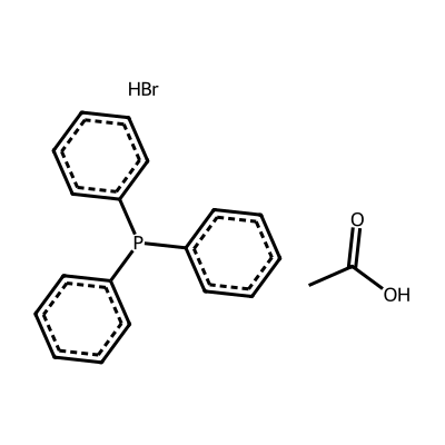 Br.CC(=O)O.c1ccc(P(c2ccccc2)c2ccccc2)cc1